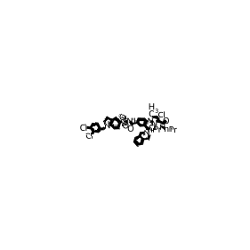 CCCN(CCC)C(=O)c1nn(-c2ccc(C(=O)NS(=O)(=O)c3ccc4c(c3)CCN4Cc3ccc(Cl)c(Cl)c3)cc2C(=O)N2CCc3ccccc3C2)c(C)c1Cl